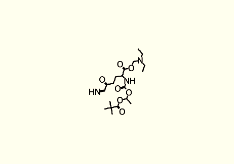 CCN(CC)COC(=O)C(CCC(=O)C=N)NC(=O)OC(C)OC(=O)C(C)(C)C